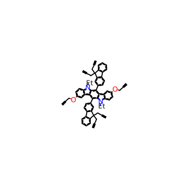 C#CCOc1ccc2c(c1)c1c(-c3ccc4c(c3)C(CC#C)(CC#C)c3ccccc3-4)c3c(c(-c4ccc5c(c4)C(CC#C)(CC#C)c4ccccc4-5)c1n2CC)c1cc(OCC#C)ccc1n3CC